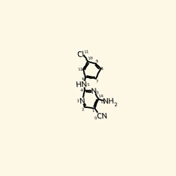 N#Cc1cnc(Nc2cccc(Cl)c2)nc1N